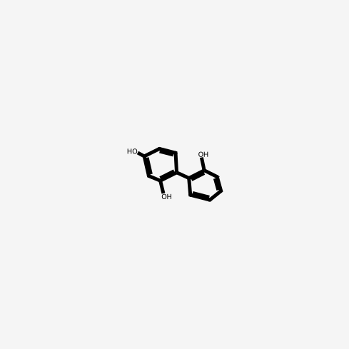 Oc1ccc(-c2ccc[c]c2O)c(O)c1